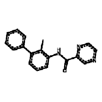 Cc1c(NC(=O)c2cnccn2)cccc1-c1ccccc1